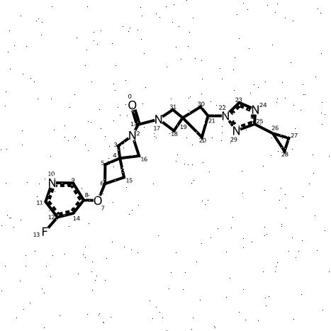 O=C(N1CC2(CC(Oc3cncc(F)c3)C2)C1)N1CC2(CC(n3cnc(C4CC4)n3)C2)C1